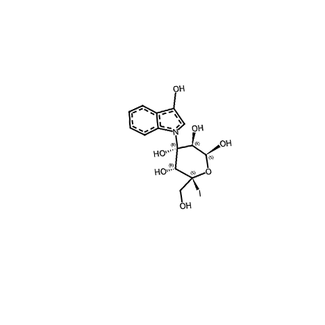 OC[C@@]1(I)O[C@H](O)[C@H](O)[C@](O)(n2cc(O)c3ccccc32)[C@H]1O